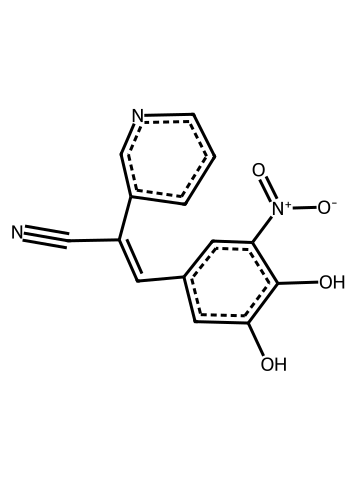 N#C/C(=C/c1cc(O)c(O)c([N+](=O)[O-])c1)c1cccnc1